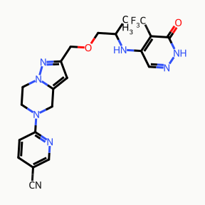 CC(COCc1cc2n(n1)CCN(c1ccc(C#N)cn1)C2)Nc1cn[nH]c(=O)c1C(F)(F)F